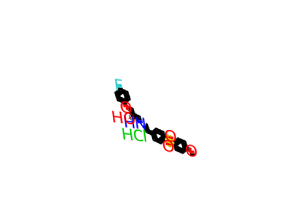 COc1ccc(S(=O)(=O)c2ccc(CCNC[C@H](O)COc3ccc(F)cc3)cc2)cc1.Cl